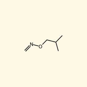 C=NOCC(C)C